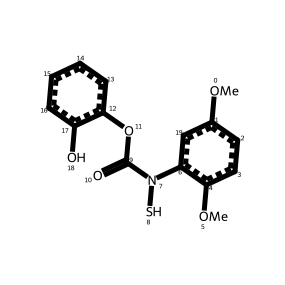 COc1ccc(OC)c(N(S)C(=O)Oc2ccccc2O)c1